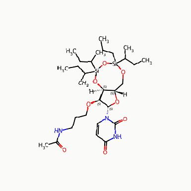 CCC[Si]1(C(C)CC)OC[C@@H]2O[C@H](n3ccc(=O)[nH]c3=O)[C@@H](OCCCNC(C)=O)[C@H]2O[Si](C(C)CC)(C(C)CC)O1